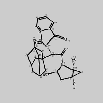 N#C[C@@H]1C[C@@H]2C[C@@H]2N1C(=O)[C@@H](N1C(=O)c2ccccc2C1=O)C12CC3CC(CC(O)(C3)C1)C2